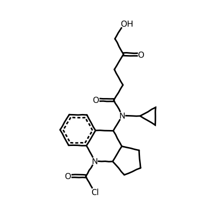 O=C(CO)CCC(=O)N(C1CC1)C1c2ccccc2N(C(=O)Cl)C2CCCC21